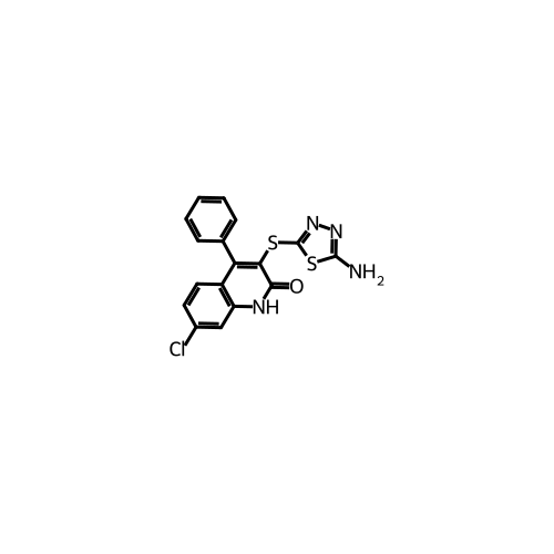 Nc1nnc(Sc2c(-c3ccccc3)c3ccc(Cl)cc3[nH]c2=O)s1